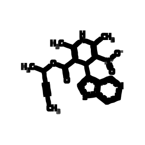 CC#CC(C)OC(=O)C1=C(C)NC(C)=C([N+](=O)[O-])C1c1csc2ccncc12